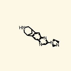 c1cn(-c2cnc3cc4c(cc3n2)C2CNCC4C2)cn1